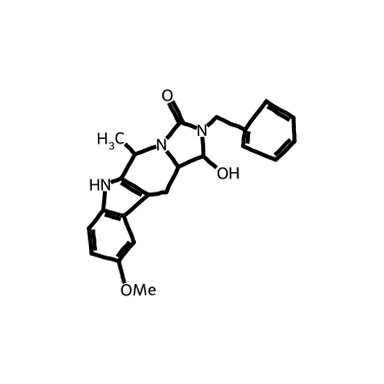 COc1ccc2[nH]c3c(c2c1)CC1C(O)N(Cc2ccccc2)C(=O)N1C3C